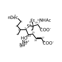 CCCCCCCCCCCCC(C)[C@H](S[C@](C)(CC)[C@H](NC(C)=O)C(=O)[O-])[C@@H](O)CC=CC(=O)[O-].[Na+].[Na+]